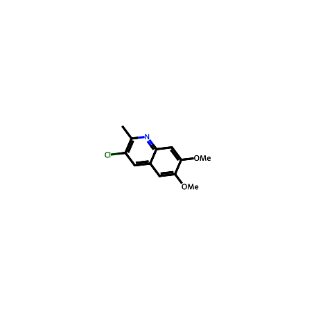 COc1cc2cc(Cl)c(C)nc2cc1OC